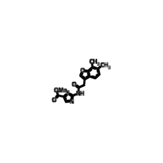 COC(=O)c1cnc(NC(=O)Cc2coc3c(C)c(C)ccc23)s1